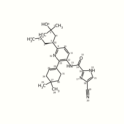 CSC[C@@H](CC(C)(C)O)c1ccc(NC(=O)c2nc(C#N)c[nH]2)c(C2=CCC(C)(C)CC2)n1